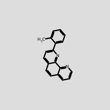 Cc1ccccc1-c1ccc2ccc3cccnc3c2n1